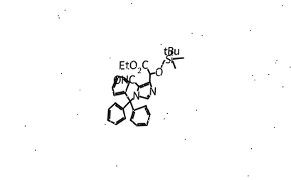 CCOC(=O)C(OC[Si](C)(C)C(C)(C)C)c1ncn(C(c2ccccc2)(c2ccccc2)c2ccccc2)c1C=O